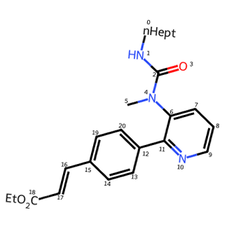 CCCCCCCNC(=O)N(C)c1cccnc1-c1ccc(C=CC(=O)OCC)cc1